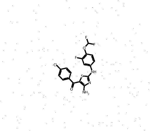 Nc1nc(Nc2ccc(OC(F)F)c(F)c2)sc1C(=O)c1ccc(Cl)cc1